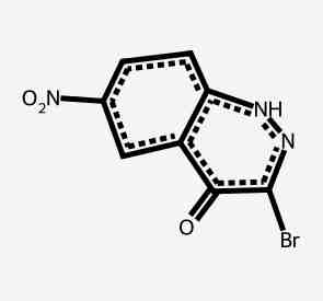 O=c1c(Br)n[nH]c2ccc([N+](=O)[O-])cc12